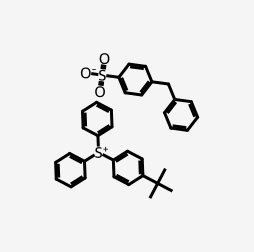 CC(C)(C)c1ccc([S+](c2ccccc2)c2ccccc2)cc1.O=S(=O)([O-])c1ccc(Cc2ccccc2)cc1